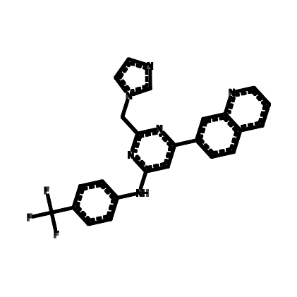 FC(F)(F)c1ccc(Nc2cc(-c3ccc4cccnc4c3)nc(Cn3ccnc3)n2)cc1